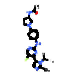 CC(=O)N[C@@H]1CCN(c2ccc(Nc3ncc(F)c(-c4cnc(C)n4C(C)C)n3)cc2)C1